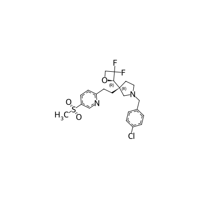 CS(=O)(=O)c1ccc(CC[C@@]2([C@H]3OCC3(F)F)CCN(Cc3ccc(Cl)cc3)C2)nc1